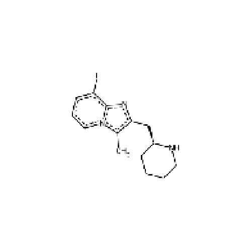 Cc1c(C[C@@H]2CCCCN2)nc2c(F)cccn12